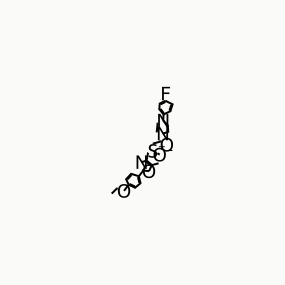 CCOc1ccc(-c2nc(C[S+]([O-])CC(=O)N3CCN(c4ccc(F)cc4)CC3)c(C)o2)cc1